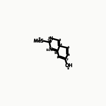 CSc1ncc2ccc(O)cc2n1